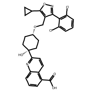 O=C(O)c1cccc2nc([C@]3(O)CC[C@@H](OCc4c(-c5c(Cl)cccc5Cl)noc4C4CC4)CC3)ccc12